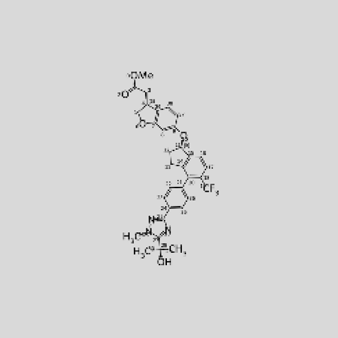 COC(=O)C[C@@H]1COc2cc(O[C@@H]3CCc4c3ccc(C(F)(F)F)c4-c3ccc(-c4nc(C(C)(C)O)n(C)n4)cc3)ccc21